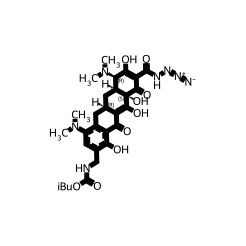 CC(C)COC(=O)NCc1cc(N(C)C)c2c(c1O)C(=O)C1=C(O)[C@]3(O)C(=O)C(C(=O)NN=[N+]=[N-])=C(O)[C@H](N(C)C)[C@@H]3C[C@@H]1C2